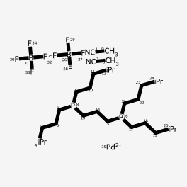 CC#N.CC#N.CC(C)CCCP(CCCC(C)C)CCCP(CCCC(C)C)CCCC(C)C.F[B-](F)(F)F.F[B-](F)(F)F.[Pd+2]